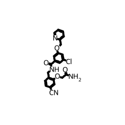 N#Cc1ccc(CNC(=O)c2cc(Cl)cc(OCc3ccccn3)c2)c(OCC(N)=O)c1